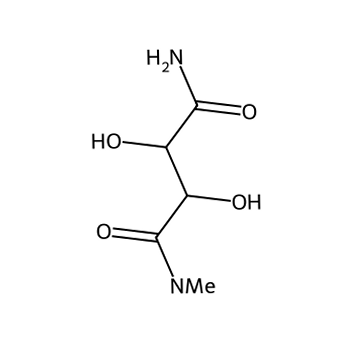 CNC(=O)C(O)C(O)C(N)=O